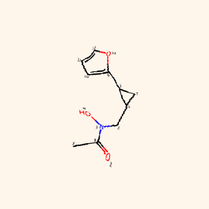 CC(=O)N(O)CC1CC1c1ccco1